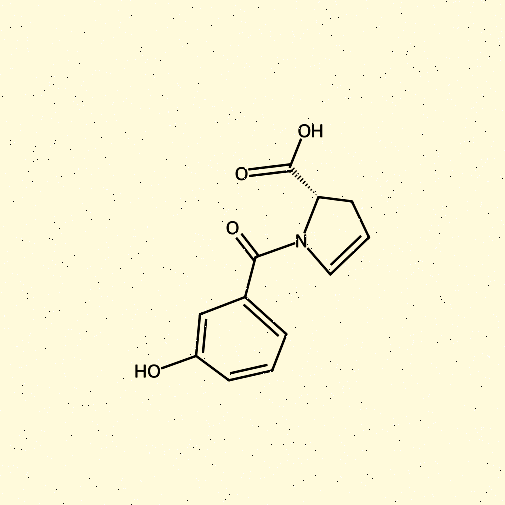 O=C(O)[C@@H]1CC=CN1C(=O)c1cccc(O)c1